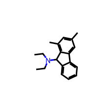 CCN(CC)C1c2ccccc2-c2cc(C)cc(C)c21